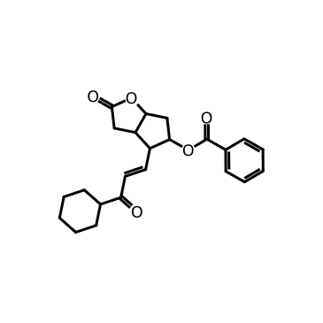 O=C1CC2C(CC(OC(=O)c3ccccc3)C2C=CC(=O)C2CCCCC2)O1